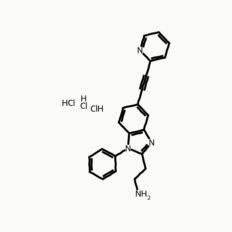 Cl.Cl.Cl.NCCc1nc2cc(C#Cc3ccccn3)ccc2n1-c1ccccc1